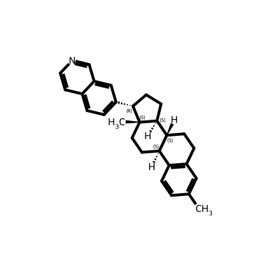 Cc1ccc2c(c1)CC[C@@H]1[C@@H]2CC[C@]2(C)[C@H](c3ccc4ccncc4c3)CC[C@@H]12